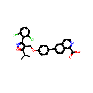 CC(C)c1onc(-c2c(Cl)cccc2Cl)c1COc1ccc(-c2ccc3c(C(=O)O)nccc3c2)cc1